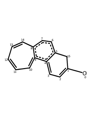 OC1=CC=c2c(ccc3c2=CC=CC=C3)C1